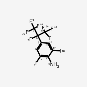 Nc1c(I)cc(C(F)(C(F)(F)F)C(F)(F)F)cc1I